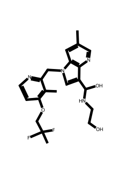 Cc1cnc2c(C(O)NCCO)cn(Cc3nccc(OCC(C)(F)F)c3C)c2c1